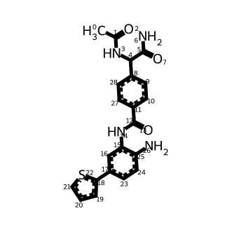 CC(=O)NC(C(N)=O)c1ccc(C(=O)Nc2cc(-c3cccs3)ccc2N)cc1